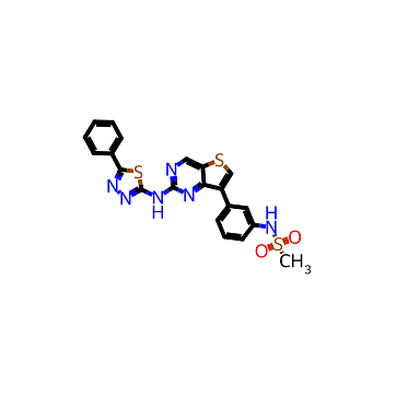 CS(=O)(=O)Nc1cccc(-c2csc3cnc(Nc4nnc(-c5ccccc5)s4)nc23)c1